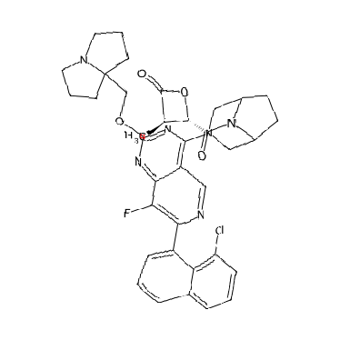 C[C@H]1C(=O)O[C@@H]1C(=O)N1C2CCC1CN(c1nc(OCC34CCCN3CCC4)nc3c(F)c(-c4cccc5cccc(Cl)c45)ncc13)C2